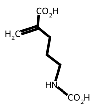 C=C(CCCNC(=O)O)C(=O)O